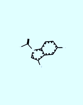 NC(=O)n1cc(N)c2cc(O)ccc21